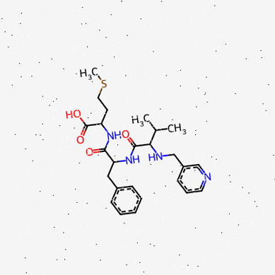 CSCCC(NC(=O)C(Cc1ccccc1)NC(=O)C(NCc1cccnc1)C(C)C)C(=O)O